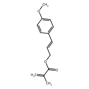 C=C(C)C(=O)OCC=Cc1ccc(OC)cc1